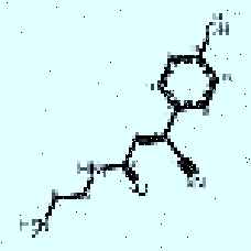 N#CC(=CC(=O)NCCN)c1ccc(O)cc1